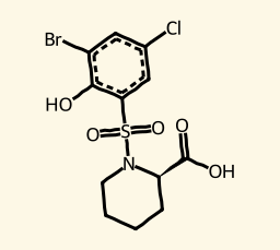 O=C(O)[C@H]1CCCCN1S(=O)(=O)c1cc(Cl)cc(Br)c1O